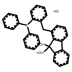 CCCCCCCCC1(CCCCCCCC)c2ccccc2-c2cccc(Cc3ccccc3P(c3ccccc3)c3ccccc3)c21.Cl